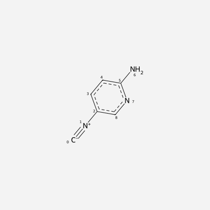 [C-]#[N+]c1ccc(N)nc1